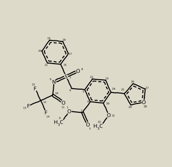 COC(=O)c1c(CS(=O)(=NC(=O)C(F)(F)F)c2ccccc2)ccc(-c2ccoc2)c1OC